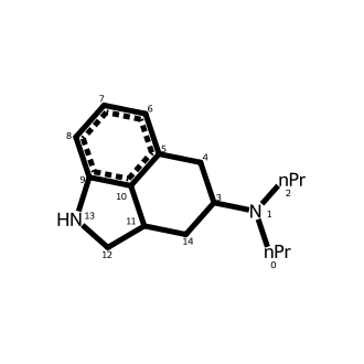 CCCN(CCC)C1Cc2cccc3c2C(CN3)C1